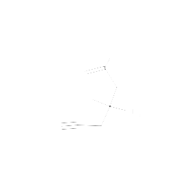 C#CCC(C)(C)CC(=O)O